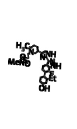 CCc1cc(O)ccc1-c1ccc2c(-c3nc(C4=CC[C@H](C)N(CCS(=O)(=O)NC)C4)c[nH]3)n[nH]c2c1F